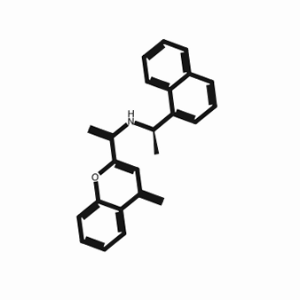 C=C(N[C@H](C)c1cccc2ccccc12)C1=CC(=C)c2ccccc2O1